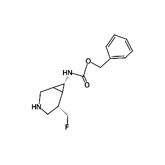 O=C(N[C@H]1C2CNC[C@@H](CF)C21)OCc1ccccc1